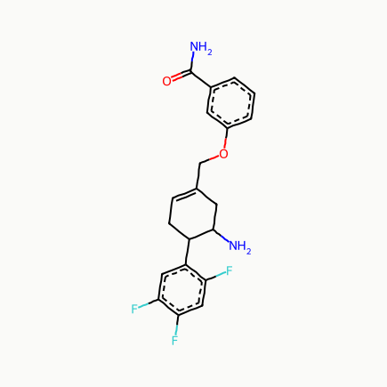 NC(=O)c1cccc(OCC2=CCC(c3cc(F)c(F)cc3F)C(N)C2)c1